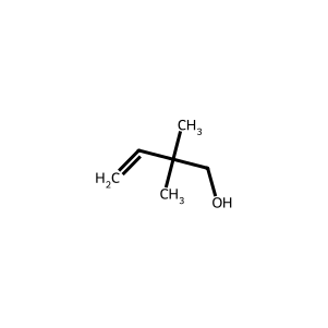 C=CC(C)(C)CO